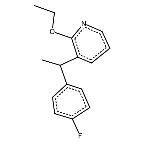 CCOc1ncccc1C(C)c1ccc(F)cc1